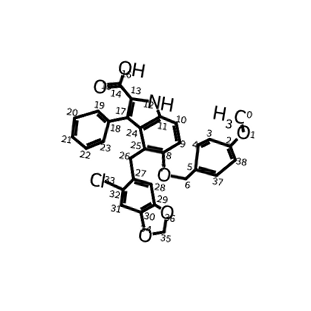 COc1ccc(COc2ccc3[nH]c(C(=O)O)c(-c4ccccc4)c3c2Cc2cc3c(cc2Cl)OCO3)cc1